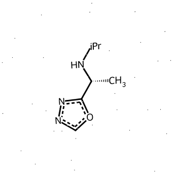 CC(C)N[C@H](C)c1nnco1